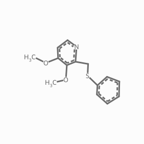 COc1ccnc(CSc2ccccc2)c1OC